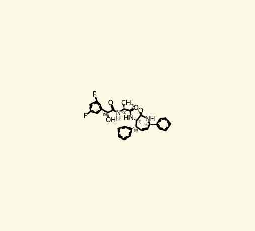 C[C@H](NC(=O)[C@@H](O)c1cc(F)cc(F)c1)C(=O)N[C@@H]1C(=O)N[C@@H](c2ccccc2)C=C[C@@H]1c1ccccc1